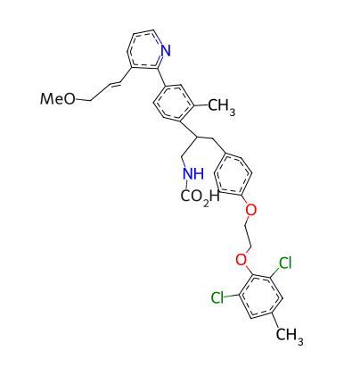 COC/C=C/c1cccnc1-c1ccc(C(CNC(=O)O)Cc2ccc(OCCOc3c(Cl)cc(C)cc3Cl)cc2)c(C)c1